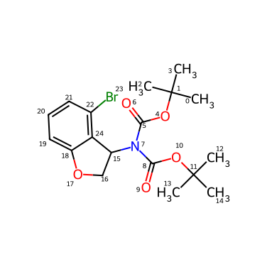 CC(C)(C)OC(=O)N(C(=O)OC(C)(C)C)C1COc2cccc(Br)c21